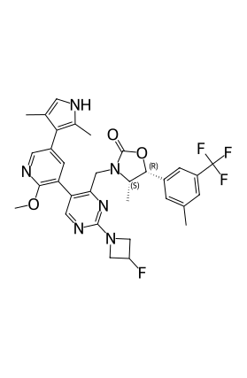 COc1ncc(-c2c(C)c[nH]c2C)cc1-c1cnc(N2CC(F)C2)nc1CN1C(=O)O[C@H](c2cc(C)cc(C(F)(F)F)c2)[C@@H]1C